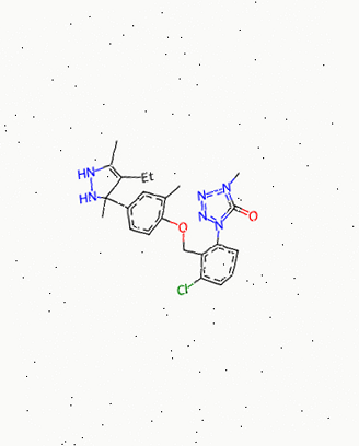 CCC1=C(C)NNC1(C)c1ccc(OCc2c(Cl)cccc2-n2nnn(C)c2=O)c(C)c1